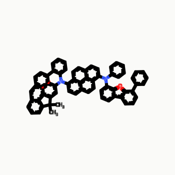 CC1(C)c2cccc3ccc4cc(N(c5ccccc5-c5ccccc5)c5ccc6ccc7c(N(c8ccccc8)c8cccc9c8oc8c(-c%10ccccc%10)cccc89)ccc8ccc5c6c87)cc1c4c23